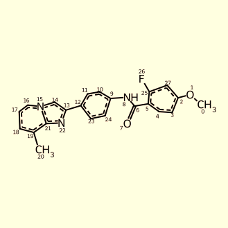 COc1ccc(C(=O)Nc2ccc(-c3cn4cccc(C)c4n3)cc2)c(F)c1